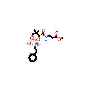 COC(=O)CCNC(=O)[C@@H]1O[PH](O)(NCCc2ccccc2)OCC1(C)C